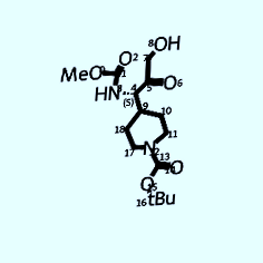 COC(=O)N[C@H](C(=O)CO)C1CCN(C(=O)OC(C)(C)C)CC1